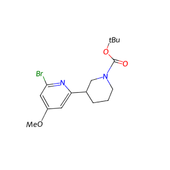 COc1cc(Br)nc(C2CCCN(C(=O)OC(C)(C)C)C2)c1